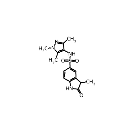 Cc1nn(C)c(C)c1NS(=O)(=O)c1ccc2c(c1)C(C)C(=O)N2